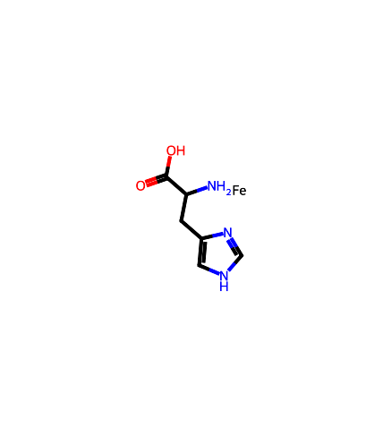 NC(Cc1c[nH]cn1)C(=O)O.[Fe]